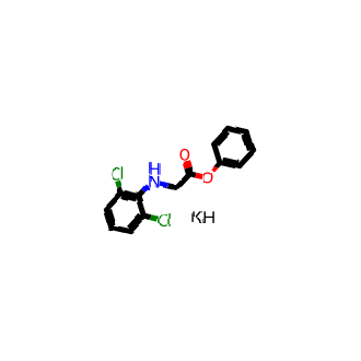 O=C(CNc1c(Cl)cccc1Cl)Oc1ccccc1.[KH]